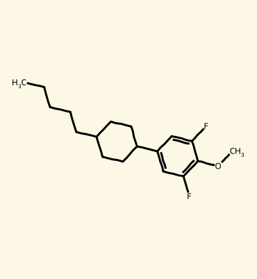 CCCCCC1CCC(c2cc(F)c(OC)c(F)c2)CC1